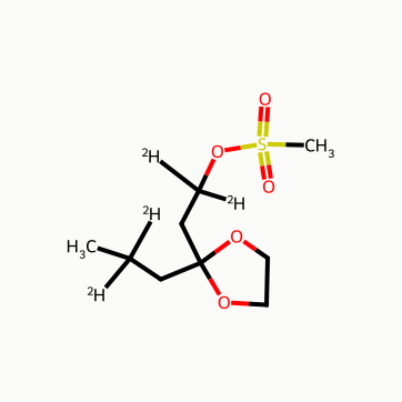 [2H]C([2H])(C)CC1(CC([2H])([2H])OS(C)(=O)=O)OCCO1